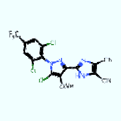 COc1c(-c2nc(C#N)c(C#N)[nH]2)nn(-c2c(Cl)cc(C(F)(F)F)cc2Cl)c1Cl